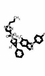 CCCn1ncc(S(=O)(=O)N2C[C@@H]3[C@@H](c4ccccc4)[C@]3(c3cc4cnn(-c5ccc(F)cc5)c4cc3C)C2)n1